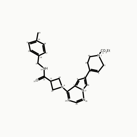 CCOC(=O)N1CC=C(c2cc3c(N4CC(C(=O)NCc5ccc(C)cc5)C4)ncnn3c2)CC1